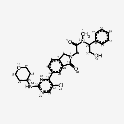 CN(C(=O)CN1Cc2ccc(-c3nc(NC4CCOCC4)ncc3Cl)cc2C1=O)C(CO)c1ccccc1